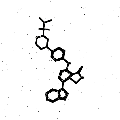 CN(C)C(C)(C)[C@H]1CN(c2ccc(Nc3ccc(-c4cnc5cnccn45)c4c3C(=O)NC4)nc2)CCO1